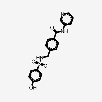 O=C(Nc1cccnc1)c1ccc(CNS(=O)(=O)c2ccc(O)cc2)cc1